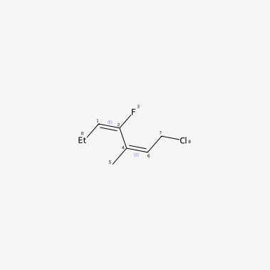 CC/C=C(F)\C(C)=C/CCl